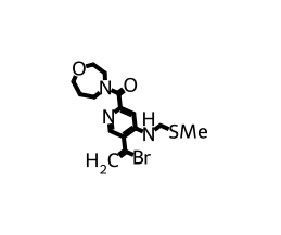 C=C(Br)c1cnc(C(=O)N2CCCOCC2)cc1NCSC